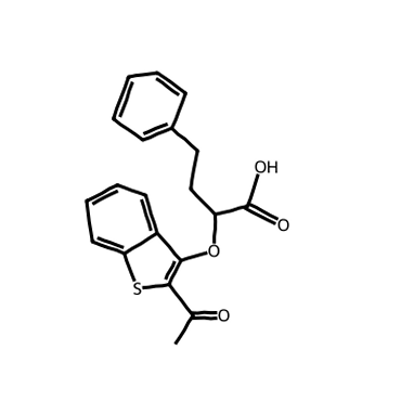 CC(=O)c1sc2ccccc2c1OC(CCc1ccccc1)C(=O)O